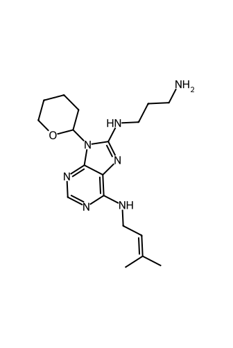 CC(C)=CCNc1ncnc2c1nc(NCCCN)n2C1CCCCO1